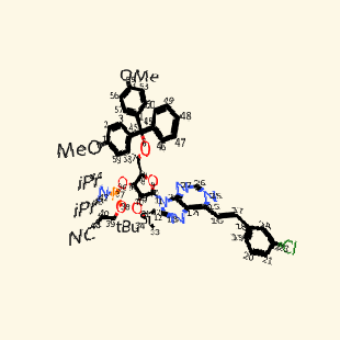 COc1ccc(C(OC[C@H]2O[C@@H](n3cnc4c(C=Cc5cccc(Cl)c5)ncnc43)[C@H](O[Si](C)(C)C(C)(C)C)[C@@H]2OP(OCCC#N)N(C(C)C)C(C)C)(c2ccccc2)c2ccc(OC)cc2)cc1